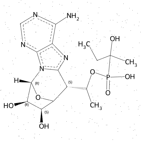 CCC(C)(O)P(=O)(O)OC(C)[C@H]1c2nc3c(N)ncnc3n2[C@@H]2OC1[C@@H](O)[C@H]2O